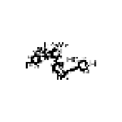 COc1ncc(-c2ccc3ncc(C#CC4CCNCC4O)n3n2)cc1NS(=O)(=O)c1ccc(F)cc1